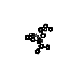 CC1(C)c2ccccc2-c2ccc(-c3nc(-c4cc(-c5ccccc5)cc(-c5ccccc5)c4)nc(-c4cccc(-c5cccc6c5oc5c(-c7ccccc7)cccc56)c4)n3)cc21